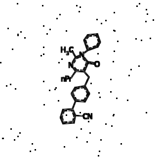 CCCc1nc(C)n(-c2ccccc2)c(=O)c1Cc1ccc(-c2ccccc2C#N)cc1